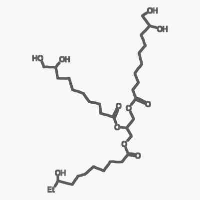 CCC(O)CCCCCCCC(=O)OCC(COC(=O)CCCCCCCC(O)CO)OC(=O)CCCCCCCC(O)CO